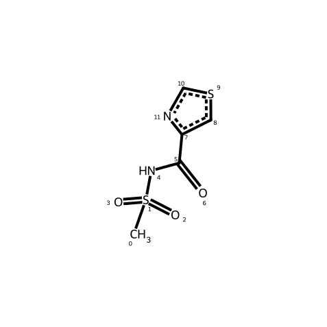 CS(=O)(=O)NC(=O)c1cscn1